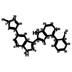 Cn1cc(-c2cnc3[nH]nc(-c4nc5c(-c6ccccc6F)nccc5[nH]4)c3c2)cn1